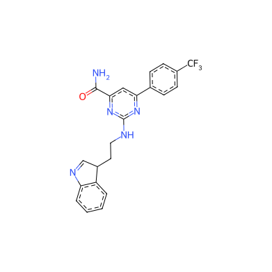 NC(=O)c1cc(-c2ccc(C(F)(F)F)cc2)nc(NCCC2C=Nc3ccccc32)n1